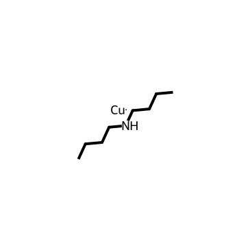 CCCCNCCCC.[Cu]